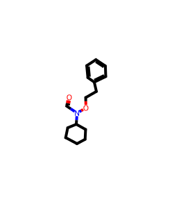 O=CN(OCCc1ccccc1)C1CCCCC1